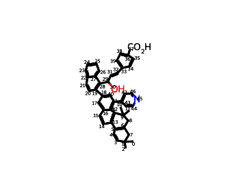 CC1(C)C=CC2=C(C1)CC(C)(C)c1c2ccc2cc(-c3ccc4ccccc4c3C(O)/C=C/c3ccc(C(=O)O)cc3)cc(-c3ccncc3)c12